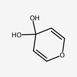 OC1(O)C=COC=C1